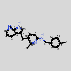 Cc1ccc(CNc2ccc(Cc3c[nH]c4ncccc34)c(C)n2)cc1